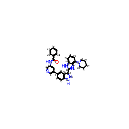 O=C(Nc1cncc(-c2ccc3[nH]nc(-c4nc5c(N6CCCCC6)cccc5[nH]4)c3c2)c1)c1ccccc1